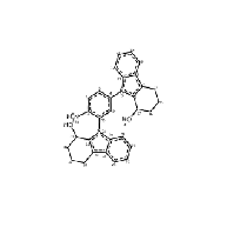 Nc1ccc(-n2c3c(c4ccccc42)CCCC3O)cc1-n1c2c(c3ccccc31)CCCC2O